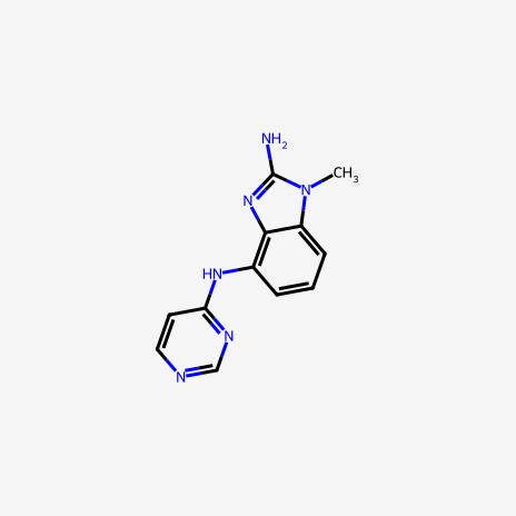 Cn1c(N)nc2c(Nc3ccncn3)cccc21